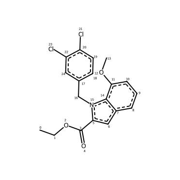 CCOC(=O)c1cc2cccc(OC)c2n1Cc1ccc(Cl)c(Cl)c1